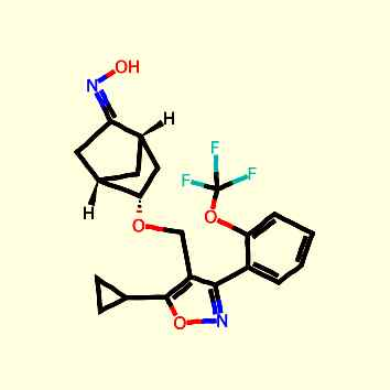 O/N=C1/C[C@@H]2C[C@H]1C[C@@H]2OCc1c(-c2ccccc2OC(F)(F)F)noc1C1CC1